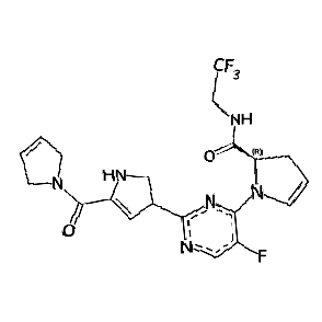 O=C(NCC(F)(F)F)[C@H]1CC=CN1c1nc(C2C=C(C(=O)N3CC=CC3)NC2)ncc1F